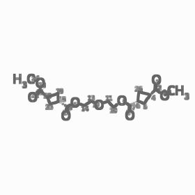 COC(=O)[C@H]1C[C@H](C(=O)OCCOCCOC(=O)[C@H]2C[C@H](C(=O)OC)C2)C1